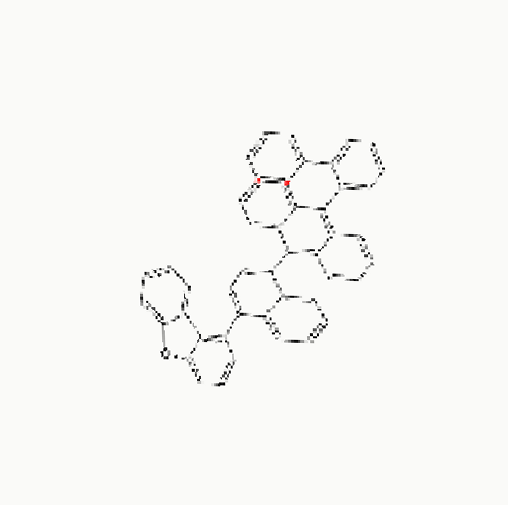 c1ccc(-c2ccccc2-c2c3ccccc3c(-c3ccc(-c4cccc5oc6ccccc6c45)c4ccccc34)c3ccccc23)cc1